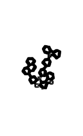 CC1C=CC(c2cccc3c2ccc2ccccc23)=CC1N(c1ccc(-c2ccc(-n3c4ccccc4c4ccccc43)cc2)cc1)c1cccc2oc3ccccc3c12